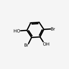 Oc1[c]cc(Br)c(O)c1Br